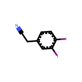 N#CCc1ccc(I)c(I)c1